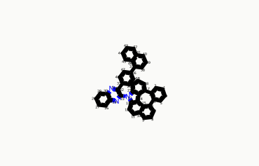 c1ccc2c(c1)-c1cccc3ccc4c(c13)c1c-2cccc1n4-c1nc2ccccc2nc1-c1ccc(-c2cccc3ccccc23)cc1